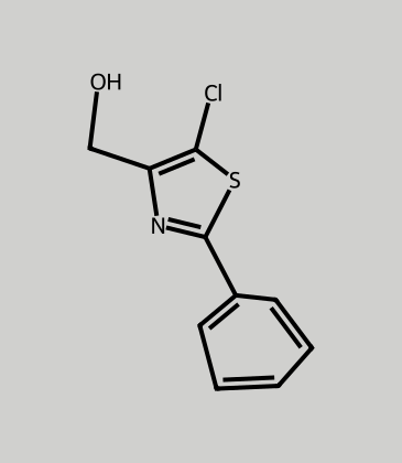 OCc1nc(-c2ccccc2)sc1Cl